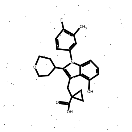 Cc1cc(-n2c(C3CCOCC3)c(CC3(C(=O)O)CC3)c3c(O)cccc32)ccc1F